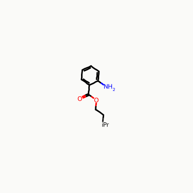 CC(C)CCOC(=O)c1ccccc1N